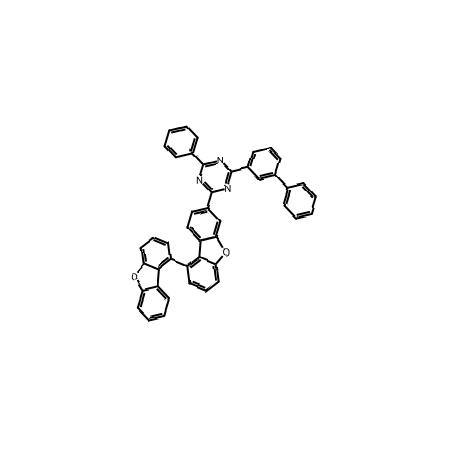 c1ccc(-c2cccc(-c3nc(-c4ccccc4)nc(-c4ccc5c(c4)oc4cccc(-c6cccc7oc8ccccc8c67)c45)n3)c2)cc1